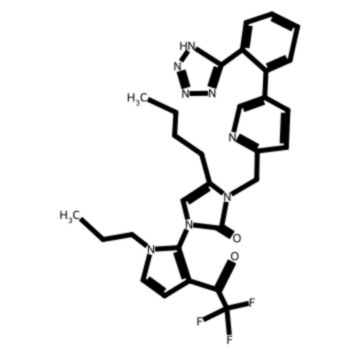 CCCCc1cn(-c2c(C(=O)C(F)(F)F)ccn2CCC)c(=O)n1Cc1ccc(-c2ccccc2-c2nnn[nH]2)cn1